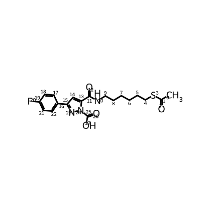 CC(=O)SCCCCCCNC(=O)c1cc(-c2ccc(F)cc2)nn1C(=O)O